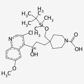 COc1ccc2ncc(Cl)c([C@H](O)CCC3(CO[Si](C)(C)C(C)(C)C)CCN(C(=O)O)CC3)c2c1